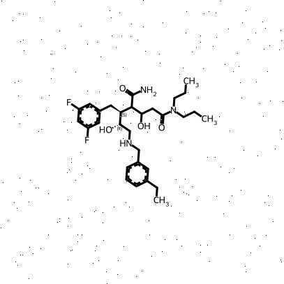 CCCN(CCC)C(=O)CC(O)C(C(N)=O)[C@H](Cc1cc(F)cc(F)c1)[C@@H](O)CNCc1cccc(CC)c1